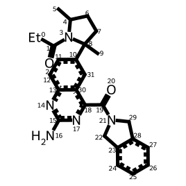 CCC(=O)N1C(C)CCC1(C)c1ccc2nc(N)nc(C(=O)N3Cc4ccccc4C3)c2c1